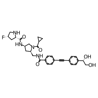 O=C(NC[C@H]1C[C@@H](NC(=O)[C@@H]2C[C@H](F)CN2)CN1C(=O)C1CC1)c1ccc(C#Cc2ccc([C@H](O)CO)cc2)cc1